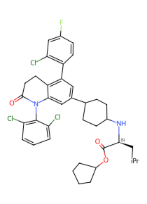 CC(C)C[C@H](NC1CCC(c2cc(-c3ccc(F)cc3Cl)c3c(c2)N(c2c(Cl)cccc2Cl)C(=O)CC3)CC1)C(=O)OC1CCCC1